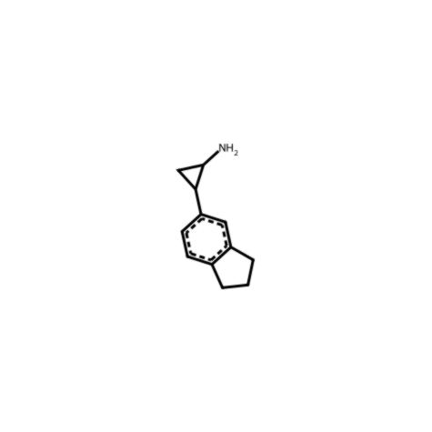 NC1CC1c1ccc2c(c1)CCC2